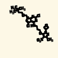 Cc1nn(C2COC2)c(OCCCNc2nc(Cl)nc3c2c(Cl)cn3COCC[Si](C)(C)C)c1[N+](=O)[O-]